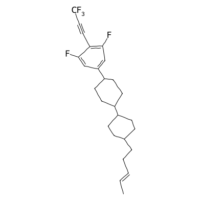 C/C=C/CCC1CCC(C2CCC(c3cc(F)c(C#CC(F)(F)F)c(F)c3)CC2)CC1